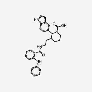 O=C(NCCC1CCCN(C(=O)O)C1c1ccc2[nH]ccc2c1)c1ccccc1Nc1ccccc1